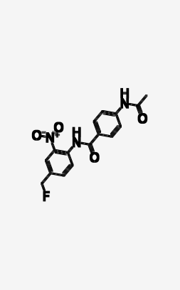 CC(=O)Nc1ccc(C(=O)Nc2ccc(CF)cc2[N+](=O)[O-])cc1